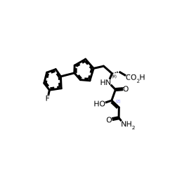 NC(=O)/C=C(\O)C(=O)N[C@@H](CC(=O)O)Cc1ccc(-c2cccc(F)c2)cc1